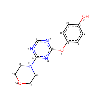 Oc1ccc(Oc2ncnc(N3CCOCC3)n2)cc1